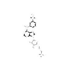 CN(c1cccc(S(N)(=O)=O)c1)c1ncnc2c1ncn2[C@@H]1O[C@H](COCP(=O)(O)O)[C@@H](O)[C@H]1O